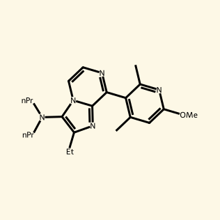 CCCN(CCC)c1c(CC)nc2c(-c3c(C)cc(OC)nc3C)nccn12